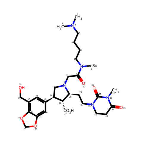 CCCCN(CCCCN(C)C)C(=O)CN1C[C@H](c2cc(CO)c3c(c2)OCO3)[C@@H](C(=O)O)[C@@H]1CCN1CCC(=O)N(C)C1=O